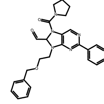 O=CC1N(CCOCc2ccccc2)c2nc(-c3ccccc3)ncc2N1C(=O)N1CCCC1